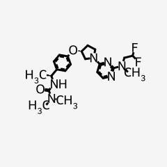 C[C@H](NC(=O)N(C)C)c1ccc(O[C@@H]2CCN(c3ccnc(N(C)CC(F)F)n3)C2)cc1